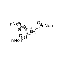 CCCCCCCCCC(=O)OCCN(CCOC(=O)CCCCCCCCC)CCOC(=O)CCCCCCCCC